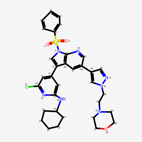 O=S(=O)(c1ccccc1)n1cc(-c2cc(Cl)nc(NC3CCCCC3)c2)c2cc(-c3cnn(CCN4CCOCC4)c3)cnc21